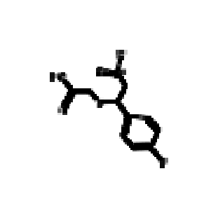 O=C(O)CSC(C[N+](=O)[O-])c1ccc(F)cc1